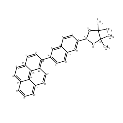 CC1(C)OB(c2ccc3cc(-c4ccc5ccc6cccc7ccc4c5c67)ccc3c2)OC1(C)C